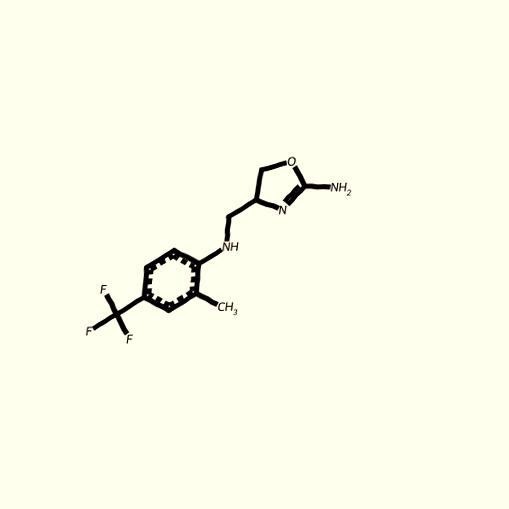 Cc1cc(C(F)(F)F)ccc1NCC1COC(N)=N1